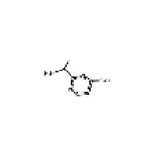 COc1ccnc(C(C)N)n1